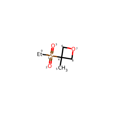 CCS(=O)(=O)C1(C)COC1